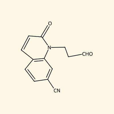 N#Cc1ccc2ccc(=O)n(CCC=O)c2c1